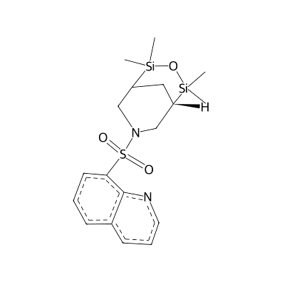 C[Si]1(C)O[Si](C)(C)[C@H]2CC1CN(S(=O)(=O)c1cccc3cccnc13)C2